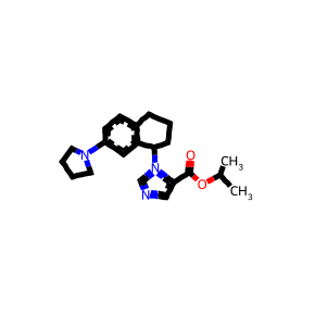 CC(C)OC(=O)c1cncn1C1CCCc2ccc(N3CCCC3)cc21